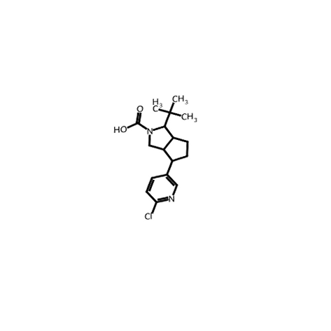 CC(C)(C)C1C2CCC(c3ccc(Cl)nc3)C2CN1C(=O)O